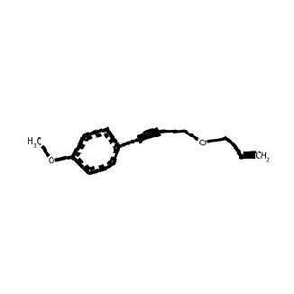 C=CCOCC#Cc1ccc(OC)cc1